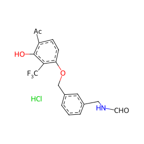 CC(=O)c1ccc(OCc2cccc(CNC=O)c2)c(C(F)(F)F)c1O.Cl